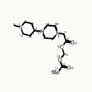 CN1CCC(N2CCN(CC(=O)OCOC(=O)C(C)(C)C)CC2)CC1